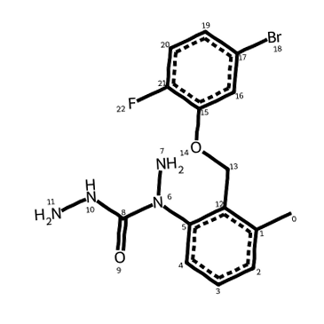 Cc1cccc(N(N)C(=O)NN)c1COc1cc(Br)ccc1F